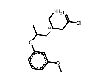 COc1cccc(OC(C)C[C@H](CN)CC(=O)O)c1